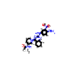 CC(=O)N[C@@H]1CCCN(c2nc(Nc3ccc(N)c([N+](=O)[O-])c3)nc3c2CCCC3)C1